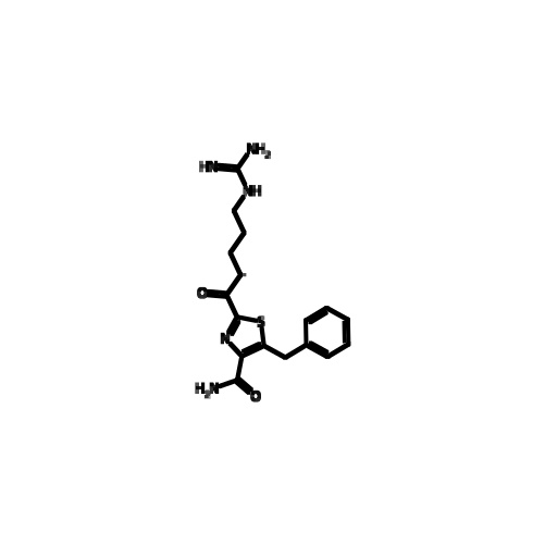 N=C(N)NCCC[CH]C(=O)c1nc(C(N)=O)c(Cc2ccccc2)s1